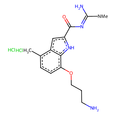 CNC(N)=NC(=O)c1cc2c(C)ccc(OCCCN)c2[nH]1.Cl.Cl